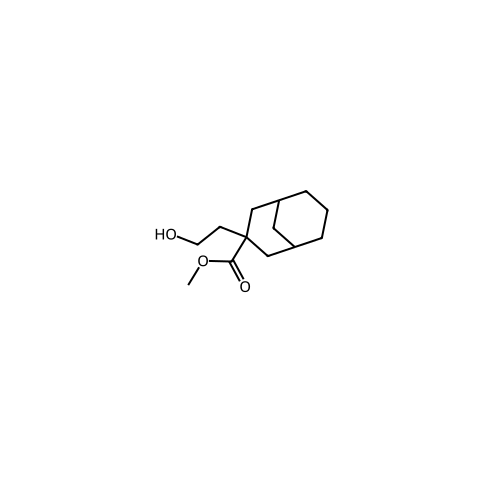 COC(=O)C1(CCO)CC2CCCC(C2)C1